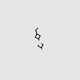 CCC1CC(N2CC(O)C2)C1